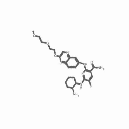 COCCOCCOc1cnc2cc(Nc3nc(NC4CCCCC4N)c(F)cc3C(N)=O)ccc2n1